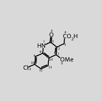 COc1c(CC(=O)O)c(=O)[nH]c2cc(Cl)ccc12